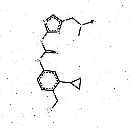 CC(C)N(C)Cc1csc(NC(=O)Nc2ccc(CN)c(C3CC3)c2)n1